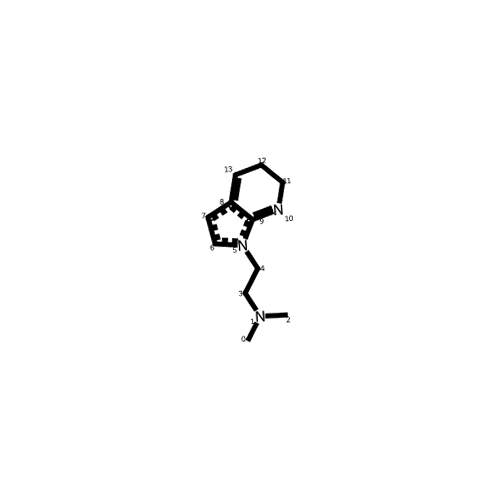 CN(C)CCn1ccc2c1=NCCC=2